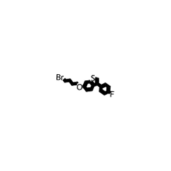 Fc1ccc(-c2csc3cc(OCCCCBr)ccc23)cc1